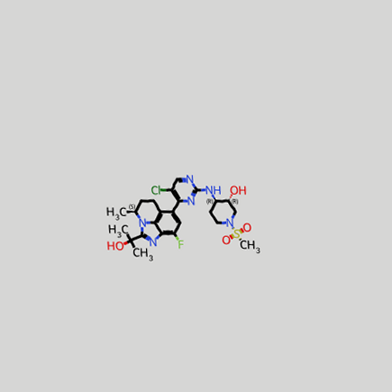 C[C@H]1CCc2c(-c3nc(N[C@@H]4CCN(S(C)(=O)=O)C[C@H]4O)ncc3Cl)cc(F)c3nc(C(C)(C)O)n1c23